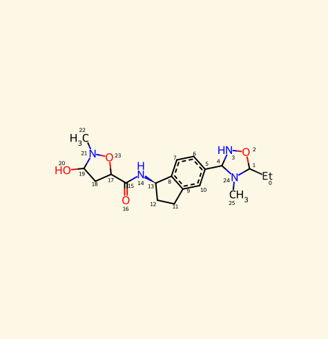 CCC1ONC(c2ccc3c(c2)CC[C@H]3NC(=O)C2CC(O)N(C)O2)N1C